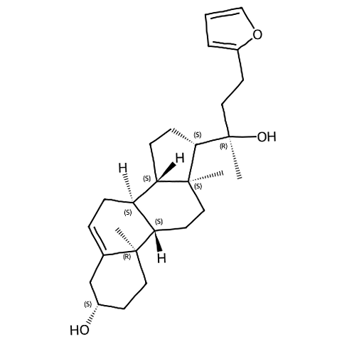 C[C@]12CC[C@H]3[C@@H](CC=C4C[C@@H](O)CC[C@@]43C)[C@@H]1CC[C@@H]2[C@](C)(O)CCc1ccco1